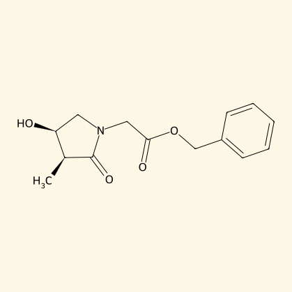 C[C@@H]1C(=O)N(CC(=O)OCc2ccccc2)C[C@@H]1O